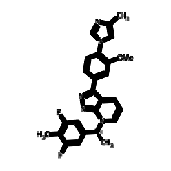 COc1cc(-c2nnc3n([C@@H](C)c4cc(F)c(C)c(F)c4)cccc2-3)ccc1-n1cnc(C)c1